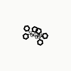 c1ccc([Si]([O][GeH2][O][Si](c2ccccc2)(c2ccccc2)c2ccccc2)(c2ccccc2)c2ccccc2)cc1